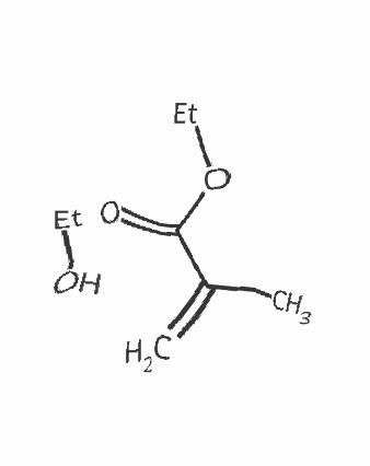 C=C(C)C(=O)OCC.CCO